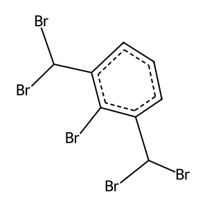 Brc1c(C(Br)Br)cccc1C(Br)Br